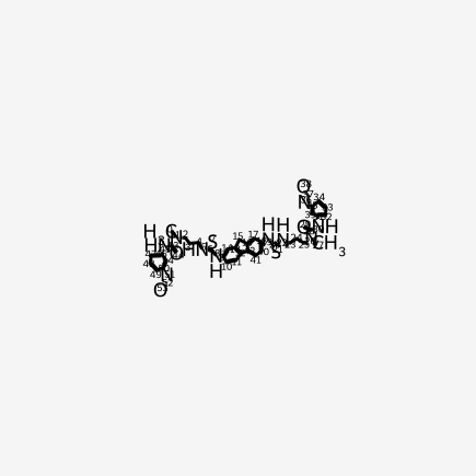 CN(CCCNC(=S)Nc1ccc2c(c1)Cc1cc(NC(=S)NCCCN(C)C(=O)Nc3cccc(N=C=O)c3)ccc1-2)C(=O)Nc1cccc(N=C=O)c1